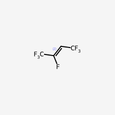 F/C(=C\C(F)(F)F)C(F)(F)F